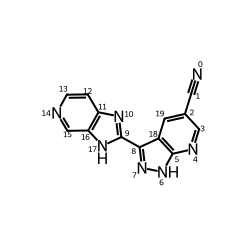 N#Cc1cnc2[nH]nc(-c3nc4ccncc4[nH]3)c2c1